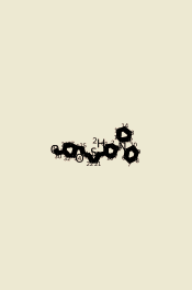 [2H]c1cc(N(c2ccccc2)c2ccccc2)ccc1-c1ccc(-c2cc3ccc(C=O)cc3o2)s1